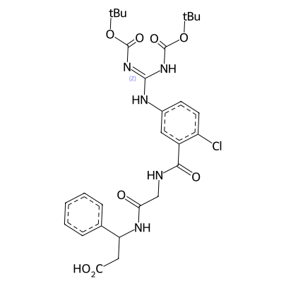 CC(C)(C)OC(=O)/N=C(\NC(=O)OC(C)(C)C)Nc1ccc(Cl)c(C(=O)NCC(=O)NC(CC(=O)O)c2ccccc2)c1